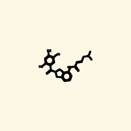 CC(C)c1cc(C(=O)N2Cc3cccc(NC(=O)/C=C/CN(C)C)c3C2)c(O)cc1O